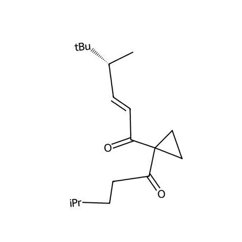 CC(C)CCC(=O)C1(C(=O)/C=C/[C@@H](C)C(C)(C)C)CC1